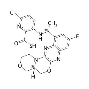 C[C@@H](Nc1ccc(Cl)nc1C(=O)S)c1cc(F)cc2nc3c(nc12)N1CCOC[C@H]1CO3